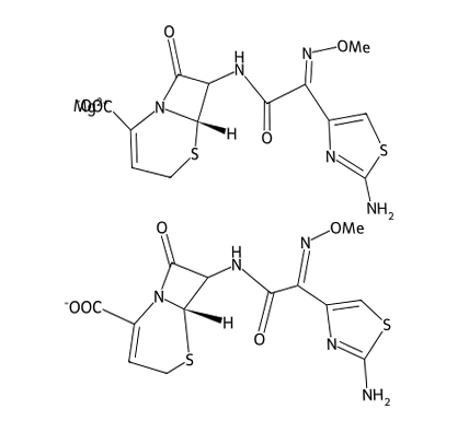 CON=C(C(=O)NC1C(=O)N2C(C(=O)[O-])=CCS[C@@H]12)c1csc(N)n1.CON=C(C(=O)NC1C(=O)N2C(C(=O)[O-])=CCS[C@@H]12)c1csc(N)n1.[Mg+2]